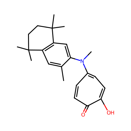 Cc1cc2c(cc1N(C)c1ccc(O)c(=O)cc1)C(C)(C)CCC2(C)C